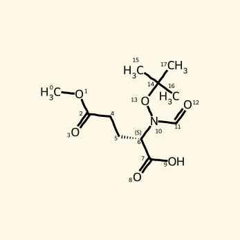 COC(=O)CC[C@@H](C(=O)O)N(C=O)OC(C)(C)C